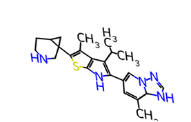 CC1=CC(c2[nH]c3sc(C45CNCCC4C5)c(C)c3c2C(C)C)=CN2N=CNC12